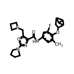 Cc1cc(NC(=O)c2nc(N3CCCC3)oc2CN2CCC2)cc(F)c1OC1CC2C3C1C23